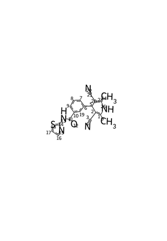 CC1=C(C#N)C(c2cccc(C(=O)Nc3nccs3)c2)C(C#N)=C(C)N1